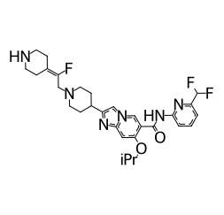 CC(C)Oc1cc2nc(C3CCN(CC(F)=C4CCNCC4)CC3)cn2cc1C(=O)Nc1cccc(C(F)F)n1